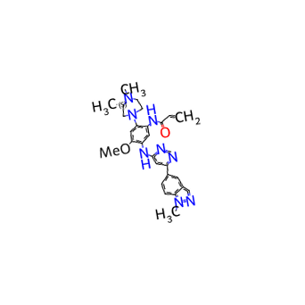 C=CC(=O)Nc1cc(Nc2cc(-c3ccc4c(cnn4C)c3)ncn2)c(OC)cc1N1CCN(C)[C@@H](C)C1